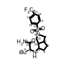 CCC(C)[C@H](NC1CCC2CN(S(=O)(=O)c3ccc(C(F)(F)F)cc3)CC21)C(N)=O